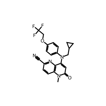 Cn1c(=O)cc(N(CC2CC2)c2ccc(OCC(F)(F)F)cc2)c2nc(C#N)ccc21